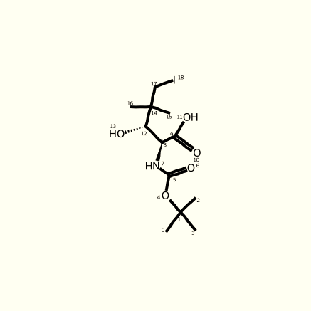 CC(C)(C)OC(=O)N[C@H](C(=O)O)[C@H](O)C(C)(C)CI